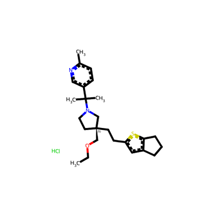 CCOC[C@@]1(CCc2cc3c(s2)CCC3)CCN(C(C)(C)c2ccc(C)nc2)C1.Cl